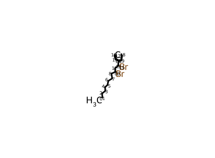 CCCCCCCCCC(Br)CC(Br)c1ccccc1